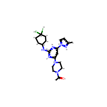 CC(=O)N1CCN(c2cc(-n3ccc(C)n3)nc(NC3CCC(F)(F)CC3)n2)CC1